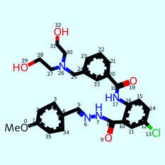 COc1ccc(C=NNC(=O)c2cc(Cl)ccc2NC(=O)c2cccc(CN(CCO)CCO)c2)cc1